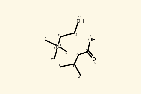 CC(C)CC(=O)O.C[N+](C)(C)CCO